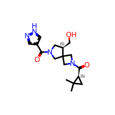 CC1(C)C[C@@H]1C(=O)N1CC2(CN(C(=O)c3cn[nH]c3)C[C@H]2CO)C1